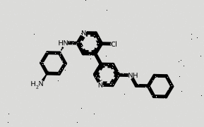 N[C@H]1CC[C@H](Nc2cc(-c3cncc(NCC4CCCCC4)c3)c(Cl)cn2)CC1